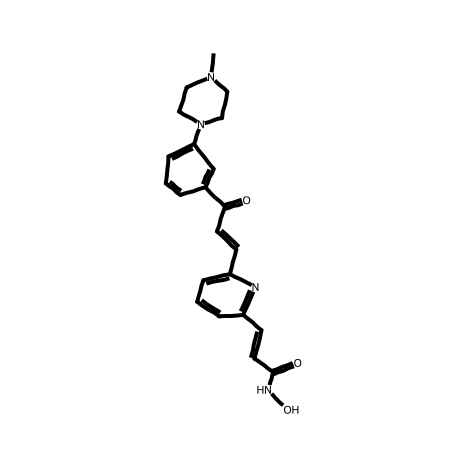 CN1CCN(c2cccc(C(=O)C=Cc3cccc(C=CC(=O)NO)n3)c2)CC1